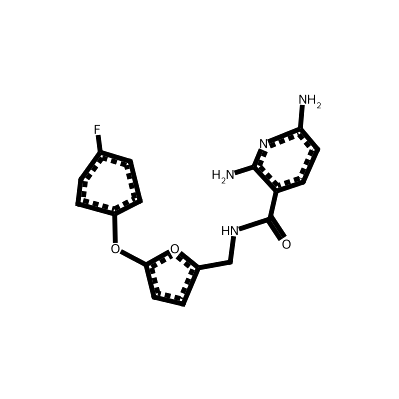 Nc1ccc(C(=O)NCc2ccc(Oc3ccc(F)cc3)o2)c(N)n1